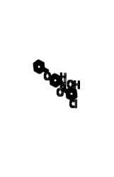 O=C(Nc1ccc(OCc2ccccc2)cc1)c1cc(Cl)ccc1O